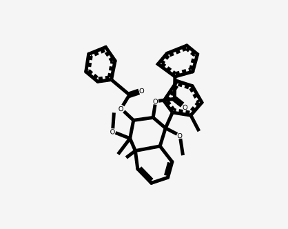 COC1(c2ccccc2C)C(OC(=O)c2ccccc2)C(OC(=O)c2ccccc2)C(C)(OC)C2(C)C=CC=CC12